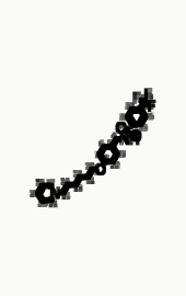 O=S(=O)(NCC1CCC(OCCCCCCN2CC=CCC2)CC1)c1ccc(C(F)(F)F)cc1